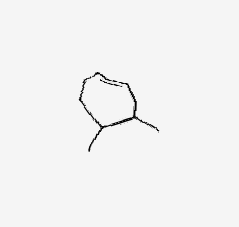 C[C]1C=CCC1C